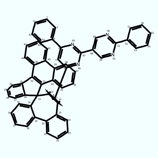 c1ccc(-c2cc(-c3ccc4c(c3)C3(c5ccccc5-c5ccccc5-4)c4ccccc4-c4c3c3ccccc3c3ccccc43)nc(-c3cnc(-c4ccccc4)nc3)n2)cc1